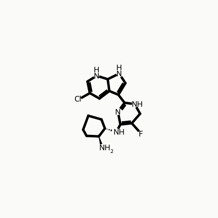 N[C@H]1CCCC[C@@H]1NC1=C(F)CNC(C2=CNC3NC=C(Cl)C=C23)=N1